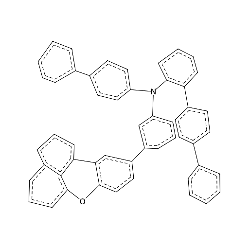 c1ccc(-c2ccc(-c3ccccc3N(c3ccc(-c4ccccc4)cc3)c3cccc(-c4ccc5c(c4)-c4cccc6cccc(c46)O5)c3)cc2)cc1